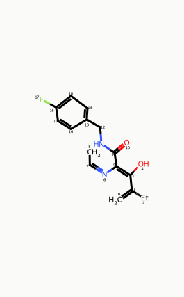 C=C(CC)/C(O)=C(\N=C/C)C(=O)NCc1ccc(F)cc1